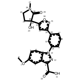 COc1ccc2c(c1)c(C(=O)O)nn2-c1cccc(-c2cc([C@]3(O)CCN(C)C3=O)on2)c1